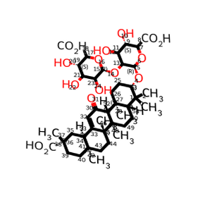 CC1(C)[C@@H](O[C@@H]2OC(C(=O)O)[C@@H](O)C(O)C2O[C@@H]2OC(C(=O)O)[C@@H](O)C(O)C2O)CC[C@]2(C)[C@H]3C(=O)C=C4[C@@H]5C[C@@](C)(C(=O)O)CC[C@]5(C)CC[C@@]4(C)[C@]3(C)CC[C@@H]12